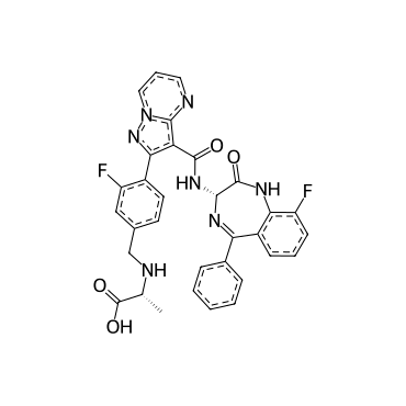 C[C@@H](NCc1ccc(-c2nn3cccnc3c2C(=O)N[C@H]2N=C(c3ccccc3)c3cccc(F)c3NC2=O)c(F)c1)C(=O)O